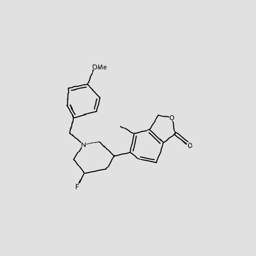 COc1ccc(CN2CC(F)CC(c3ccc4c(c3C)COC4=O)C2)cc1